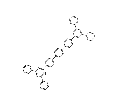 c1ccc(-c2cc(-c3ccccc3)cc(-c3ccc(-c4ccc(-c5ccc(-c6nc(-c7ccccc7)nc(-c7ccccc7)n6)cc5)cc4)cc3)c2)cc1